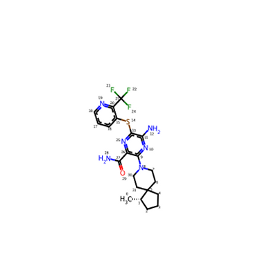 C[C@H]1CCCC12CCN(c1nc(N)c(Sc3cccnc3C(F)(F)F)nc1C(N)=O)CC2